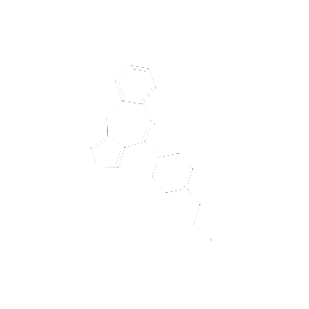 OCCN1CCN(C2=Nc3ccccc3Sc3cscc32)CC1